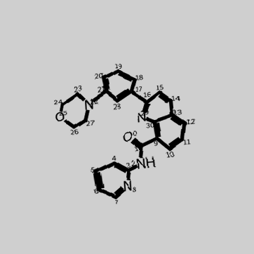 O=C(Nc1ccccn1)c1cccc2ccc(-c3cccc(N4CCOCC4)c3)nc12